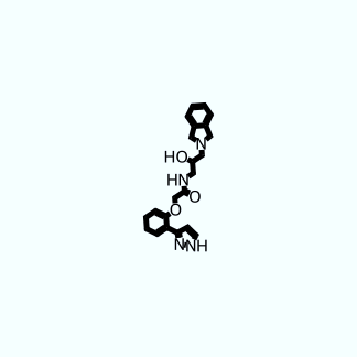 O=C(COC1=CCCC=C1c1cc[nH]n1)NCC(O)CN1Cc2ccccc2C1